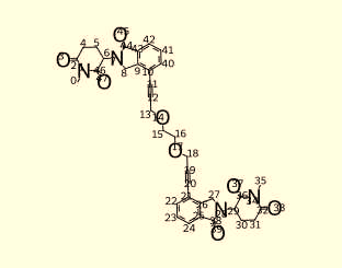 CN1C(=O)CCC(N2Cc3c(C#CCOCCOCC#Cc4cccc5c4CN(C4CCC(=O)N(C)C4=O)C5=O)cccc3C2=O)C1=O